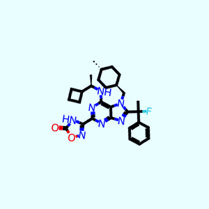 C[C@@H](Nc1nc(-c2noc(=O)[nH]2)nc2nc(C(C)(F)c3ccccc3)n(C[C@H]3CC[C@H](C)CC3)c12)C1CCC1